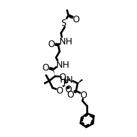 CC(=O)SCCNC(=O)CCNC(=O)[C@@H]1OP(=O)(N[C@@H](C)C(=O)OCCc2ccccc2)OCC1(C)C